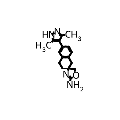 Cc1n[nH]c(C)c1-c1ccc2c(c1)CC[C@]1(COC(N)=N1)C2